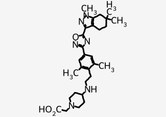 Cc1cc(-c2noc(-c3nn(C)c4c3CCC(C)(C)C4)n2)cc(C)c1CCNC1CCN(CC(=O)O)CC1